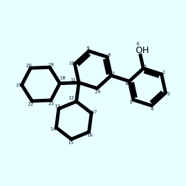 Oc1ccccc1C1=CC=CC(C2CCCCC2)(C2CCCCC2)C1